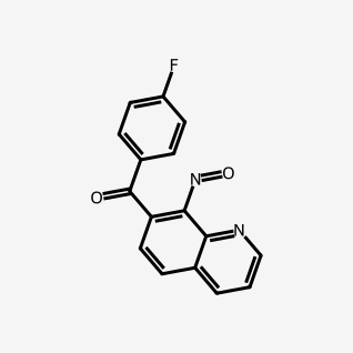 O=Nc1c(C(=O)c2ccc(F)cc2)ccc2cccnc12